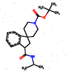 CC(C)NC(=O)C1CC2(CCN(C(=O)OC(C)(C)C)CC2)c2ccccc21